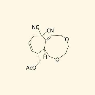 CC(=O)OC[C@@H]1C=CCC(C#N)(C#N)/C2=C/COCCOC[C@H]21